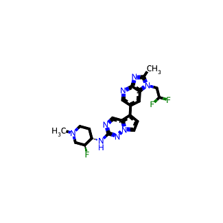 Cc1nc2ncc(-c3ccn4nc(N[C@H]5CCN(C)C[C@@H]5F)ncc34)cc2n1CC(F)F